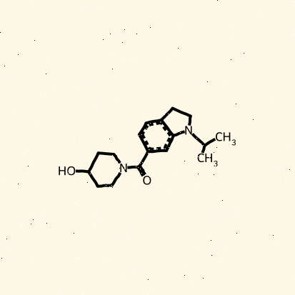 CC(C)N1CCc2ccc(C(=O)N3CCC(O)CC3)cc21